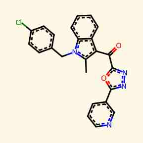 Cc1c(C(=O)c2nnc(-c3cccnc3)o2)c2ccccc2n1Cc1ccc(Cl)cc1